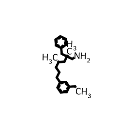 CCc1cccc(CCCC(C)CC(C)(CN)Cc2ccccc2)c1